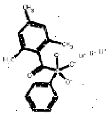 Cc1cc(C)c(C(=O)P([O-])([O-])([O-])c2ccccc2)c(C)c1.[Li+].[Li+].[Li+]